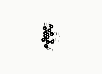 Cc1cccc(-c2cc(-c3cccc(C)c3)cc(N(c3ccccc3)c3ccc4ccc5c(N(c6ccccc6)c6cc(-c7cccc(C)c7)cc(-c7cccc(C)c7)c6)ccc6ccc3c4c65)c2)c1